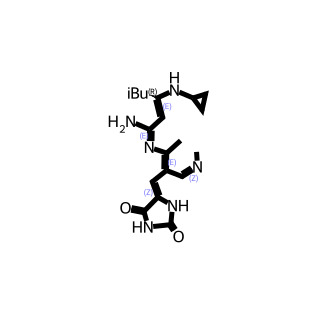 CC[C@@H](C)/C(=C\C(N)=N/C(C)=C(/C=N\C)\C=C1/NC(=O)NC1=O)NC1CC1